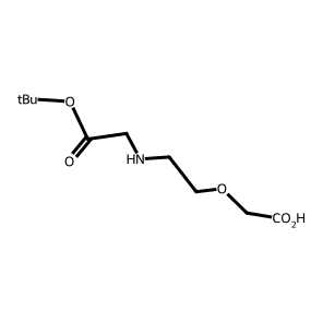 CC(C)(C)OC(=O)CNCCOCC(=O)O